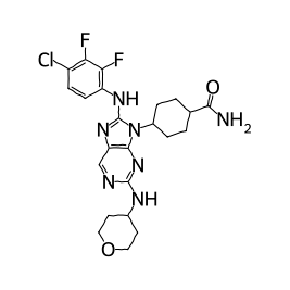 NC(=O)C1CCC(n2c(Nc3ccc(Cl)c(F)c3F)nc3cnc(NC4CCOCC4)nc32)CC1